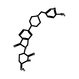 C=C1CCC(N2Cc3cc(C4CCN(Cc5ccc(N)nc5)CC4)ccc3C2=O)C(=O)N1